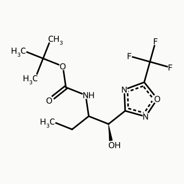 CCC(NC(=O)OC(C)(C)C)[C@H](O)c1noc(C(F)(F)F)n1